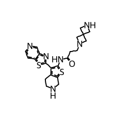 O=C(CCN1CC2(CNC2)C1)Nc1sc2c(c1-c1nc3cnccc3s1)CCNC2